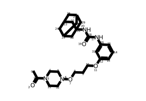 CC(=O)N1CCN(OCCCOc2cccc(NC(=O)NC34CC5CC(CC(C5)C3)C4)c2)CC1